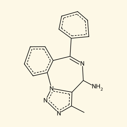 Cc1nnn2c1C(N)N=C(c1ccccc1)c1ccccc1-2